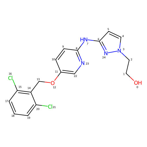 OCCn1ccc(Nc2ccc(OCc3c(Cl)cccc3Cl)cn2)n1